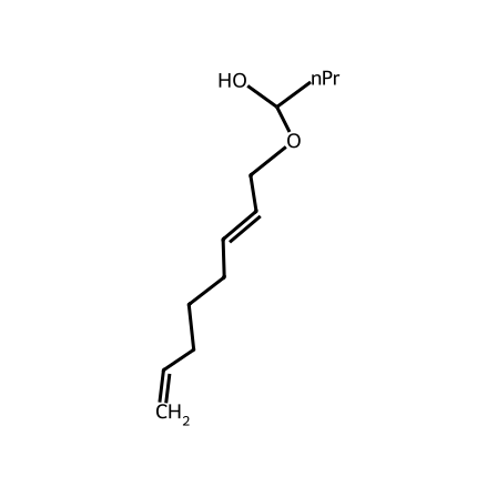 C=CCCCC=CCOC(O)CCC